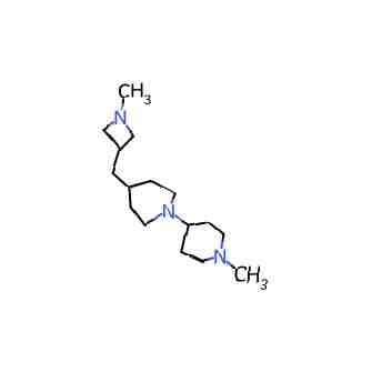 CN1CCC(N2CCC(CC3CN(C)C3)CC2)CC1